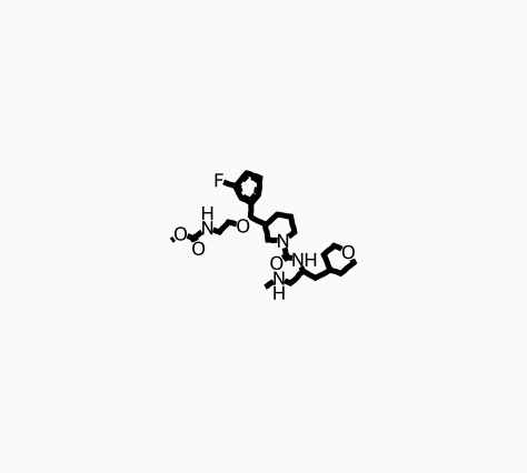 CNCC(CC1CCOCC1)NC(=O)N1CCCC(C(OCCNC(=O)OC)c2cccc(F)c2)C1